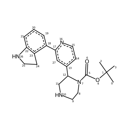 CC(C)(C)OC(=O)N1CCNCC1c1ccnc(-c2cccc3c2CCN3)c1